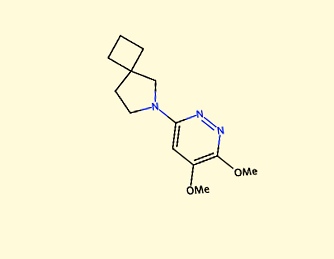 COc1cc(N2CCC3(CCC3)C2)nnc1OC